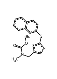 CN(Cc1cnc(Sc2ccc3ccccc3c2)s1)C(=O)OC(C)(C)C